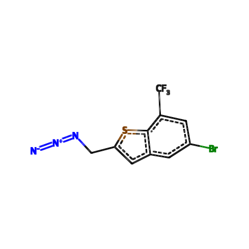 [N-]=[N+]=NCc1cc2cc(Br)cc(C(F)(F)F)c2s1